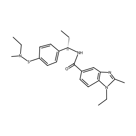 CC[C@H](NC(=O)c1ccc2c(c1)nc(C)n2CC)c1ccc(SN(C)CC)cc1